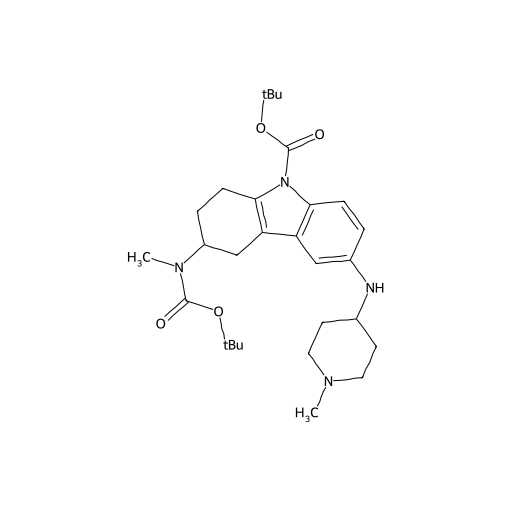 CN1CCC(Nc2ccc3c(c2)c2c(n3C(=O)OC(C)(C)C)CCC(N(C)C(=O)OC(C)(C)C)C2)CC1